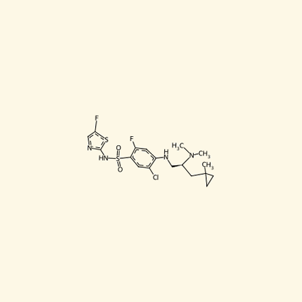 CN(C)[C@H](CNc1cc(F)c(S(=O)(=O)Nc2ncc(F)s2)cc1Cl)CC1(C)CC1